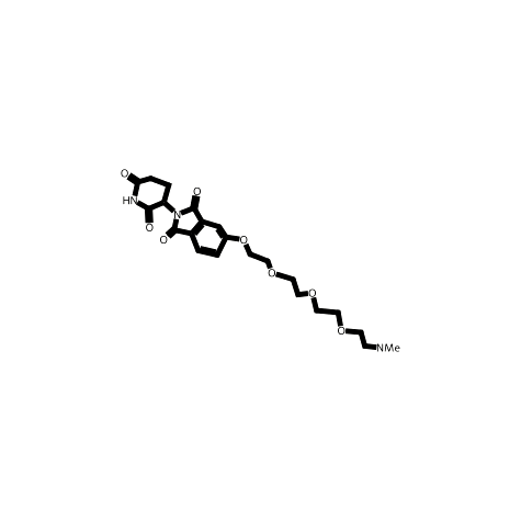 CNCCOCCOCCOCCOc1ccc2c(c1)C(=O)N(C1CCC(=O)NC1=O)C2=O